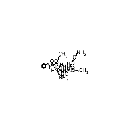 CCCCOC[C@H](NC(=O)COCCOCCN)C(=O)NNC(=O)[C@H](CC(N)=O)NC(=O)N[C@H](C(=O)OCc1ccccc1)C(C)OCCCC